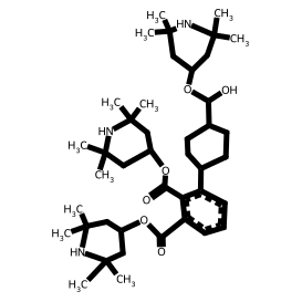 CC1(C)CC(OC(=O)c2cccc(C3CCC(C(O)OC4CC(C)(C)NC(C)(C)C4)CC3)c2C(=O)OC2CC(C)(C)NC(C)(C)C2)CC(C)(C)N1